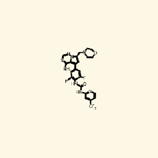 Nc1ncnn2c(CN3CCOCC3)cc(-c3cc(F)c(NC(=O)Nc4cc(C(F)(F)F)ccn4)c(F)c3)c12